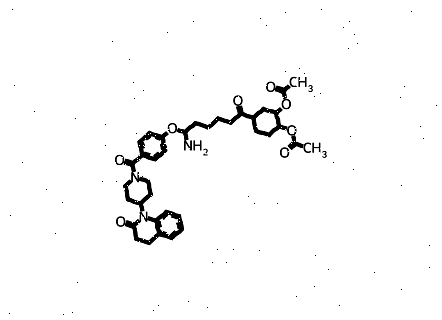 CC(=O)OC1CCC(C(=O)CCCCC(N)Oc2ccc(C(=O)N3CCC(N4C(=O)CCc5ccccc54)CC3)cc2)CC1OC(C)=O